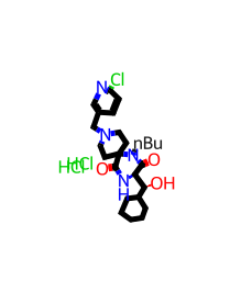 CCCCN1C(=O)[C@@H]([C@H](O)C2CCCCC2)NC(=O)C12CCN(Cc1ccc(Cl)nc1)CC2.Cl.Cl